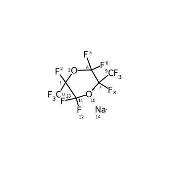 FC(F)(F)C1(F)OC(F)(F)C(F)(C(F)(F)F)OC1(F)F.[Na]